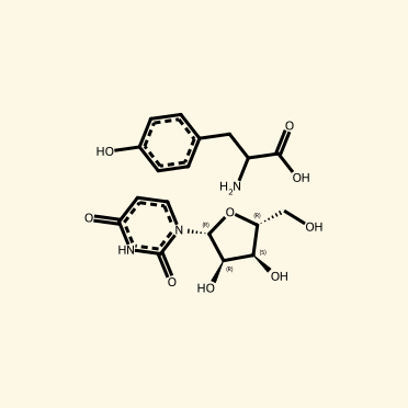 NC(Cc1ccc(O)cc1)C(=O)O.O=c1ccn([C@@H]2O[C@H](CO)[C@@H](O)[C@H]2O)c(=O)[nH]1